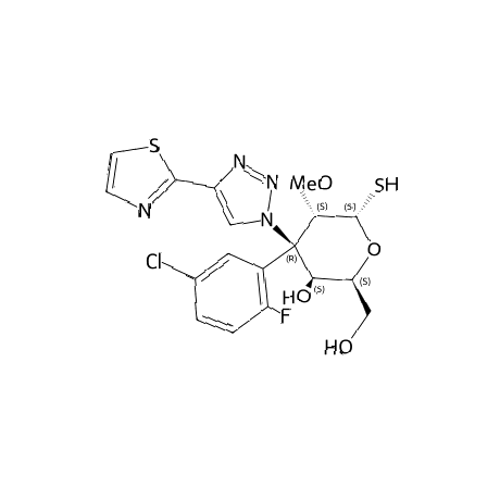 CO[C@@H]1[C@H](S)O[C@@H](CO)[C@@H](O)[C@@]1(c1cc(Cl)ccc1F)n1cc(-c2nccs2)nn1